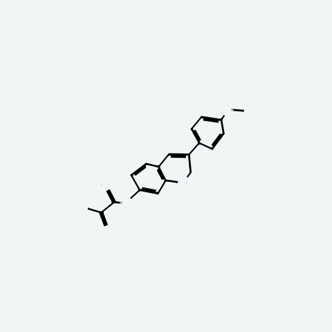 C=C(C)C(=O)Oc1ccc2c(c1)OCC(c1ccc(OC)cc1)=C2